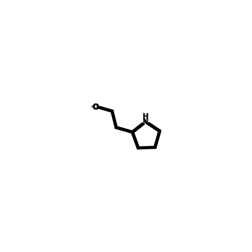 [O]CCC1CCCN1